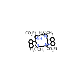 CCOC(=O)c1cc2[nH]c1cc1nc(c(-c3cccc4ccccc34)c3cc(C(=O)OCC)c(cc4nc(c2-c2cccc5ccccc25)CC4(C)C)[nH]3)CC1(C)C